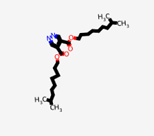 CC(C)CCCCCCCOC(=O)c1cnncc1C(=O)OCCCCCCCC(C)C